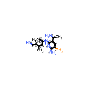 C=C(N)c1cc(P)c(N)nc1NC(/C=C(/C)C(C)C=N)=C/C